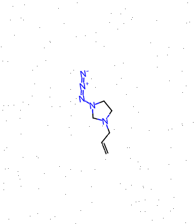 C=CCN1CCN(N=[N+]=[N-])C1